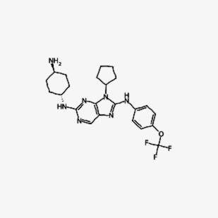 N[C@H]1CC[C@H](Nc2ncc3nc(Nc4ccc(OC(F)(F)F)cc4)n(C4CCCC4)c3n2)CC1